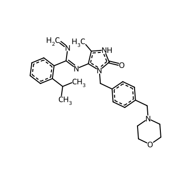 C=N/C(=N\c1c(C)[nH]c(=O)n1Cc1ccc(CN2CCOCC2)cc1)c1ccccc1C(C)C